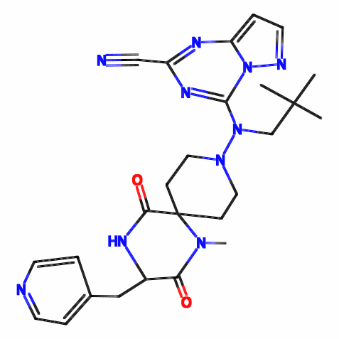 CN1C(=O)C(Cc2ccncc2)NC(=O)C12CCN(N(CC(C)(C)C)c1nc(C#N)nc3ccnn13)CC2